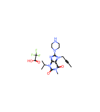 CC#CCn1c(N2CCNCC2)nc2c1c(=O)n(C)c(=O)n2C(C)C.O=C(O)C(F)(F)F